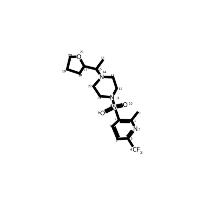 Cc1nc(C(F)(F)F)ccc1S(=O)(=O)N1CCN(C(C)C2CCCO2)CC1